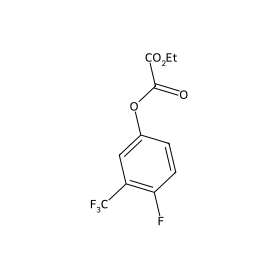 CCOC(=O)C(=O)Oc1ccc(F)c(C(F)(F)F)c1